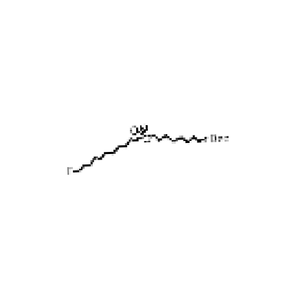 CCCCCCCCCCCCCCCCCCOS(=O)(=O)CCCCCCCCCCCF